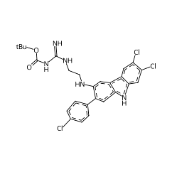 CC(C)(C)OC(=O)NC(=N)NCCNc1cc2c(cc1-c1ccc(Cl)cc1)[nH]c1cc(Cl)c(Cl)cc12